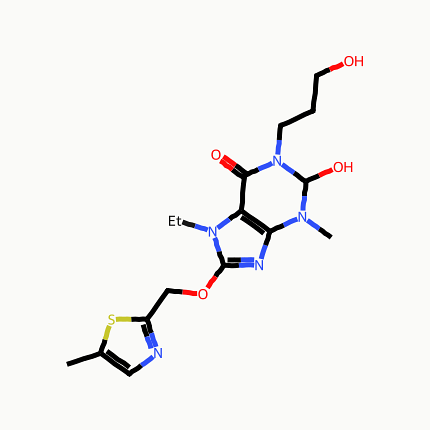 CCn1c(OCc2ncc(C)s2)nc2c1C(=O)N(CCCO)C(O)N2C